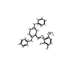 Nc1ccc(F)c(F)c1OCC1CN(Cc2ccccc2)CCN1Cc1ccccc1